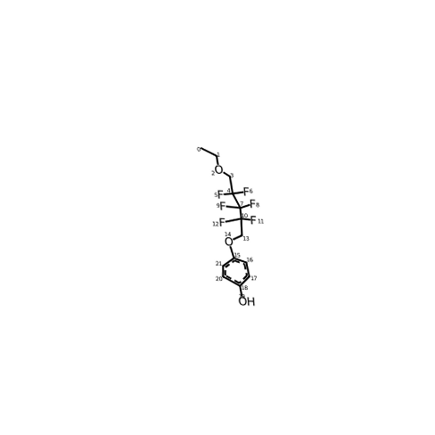 CCOCC(F)(F)C(F)(F)C(F)(F)COc1ccc(O)cc1